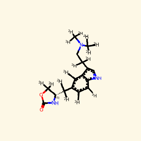 [2H]c1c(C([2H])([2H])[C@@H]2NC(=O)OC2([2H])[2H])c([2H])c2c(C([2H])([2H])CN(C([2H])([2H])[2H])C([2H])([2H])[2H])c[nH]c2c1[2H]